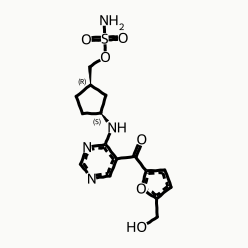 NS(=O)(=O)OC[C@@H]1CC[C@H](Nc2ncncc2C(=O)c2ccc(CO)o2)C1